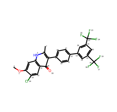 COc1cc2[nH]c(C)c(-c3ccc(-c4cc(C(F)(F)F)cc(C(F)(F)F)c4)cc3)c(=O)c2cc1Cl